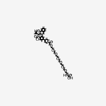 CC(=O)N1c2ccc(C3=CCN(C(=O)COCCOCCOCCOCCOCCOCCOCCNC(=O)O)CC3)cc2N(Cc2ccccc2CO)C[C@@H]1C1CC1